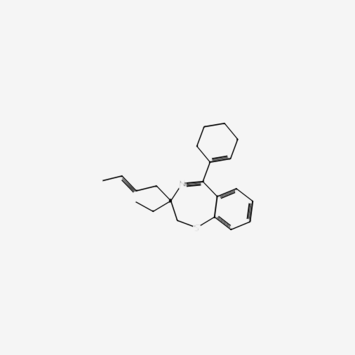 CC=CCC1(CC)CSc2ccccc2C(C2=CCCCC2)=N1